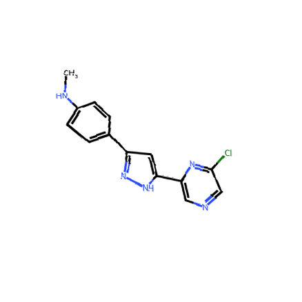 CNc1ccc(-c2cc(-c3cncc(Cl)n3)[nH]n2)cc1